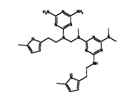 Cc1ccc(CCNc2nc(N(C)C)nc(N(C)CN(CCc3ccc(C)o3)c3nc(N)nc(N)n3)n2)[nH]1